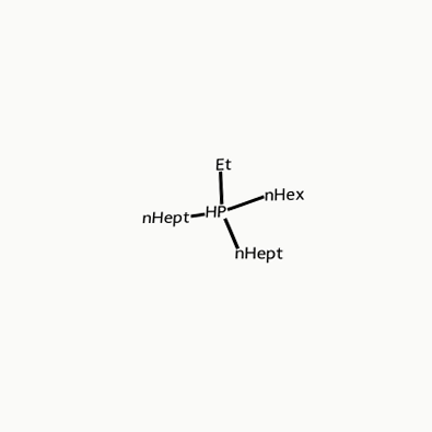 CCCCCCC[PH](CC)(CCCCCC)CCCCCCC